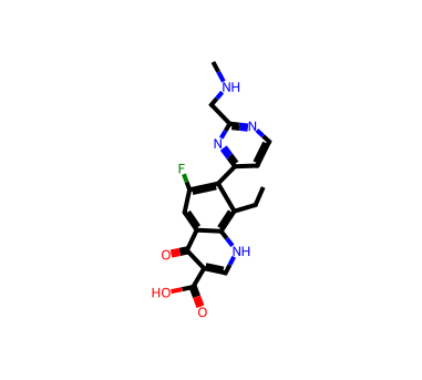 CCc1c(-c2ccnc(CNC)n2)c(F)cc2c(=O)c(C(=O)O)c[nH]c12